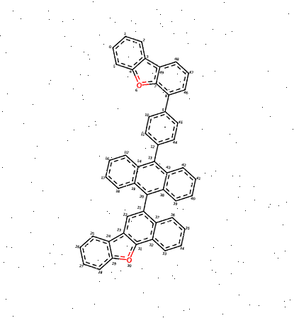 c1ccc2c(c1)oc1c(-c3ccc(-c4c5ccccc5c(-c5cc6c7ccccc7oc6c6ccccc56)c5ccccc45)cc3)cccc12